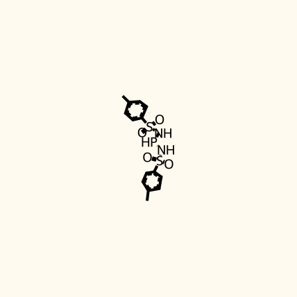 Cc1ccc(S(=O)(=O)NPNS(=O)(=O)c2ccc(C)cc2)cc1